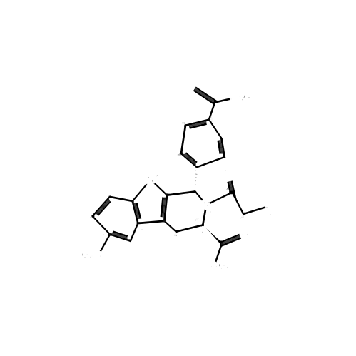 COC(=O)c1ccc([C@H]2c3[nH]c4ccc(OC)cc4c3C[C@H](C(=O)OC)N2C(=O)CCl)cc1